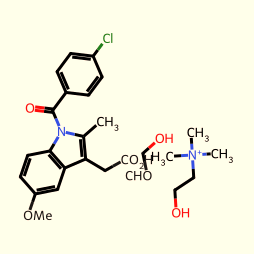 COc1ccc2c(c1)c(CC(=O)O)c(C)n2C(=O)c1ccc(Cl)cc1.C[N+](C)(C)CCO.O=CCO